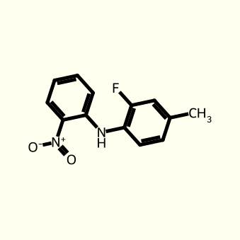 Cc1ccc(Nc2ccccc2[N+](=O)[O-])c(F)c1